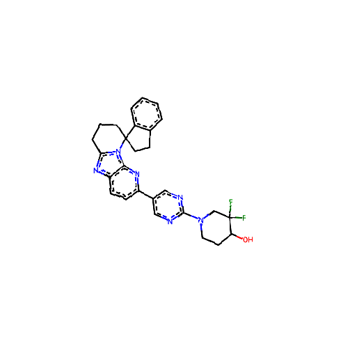 OC1CCN(c2ncc(-c3ccc4nc5n(c4n3)C3(CCC5)CCc4ccccc43)cn2)CC1(F)F